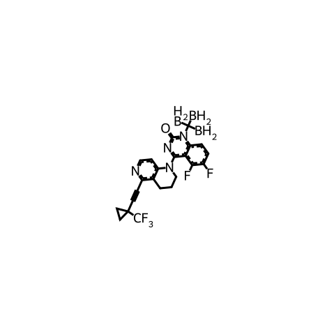 BC(B)(B)n1c(=O)nc(N2CCCc3c2ccnc3C#CC2(C(F)(F)F)CC2)c2c(F)c(F)ccc21